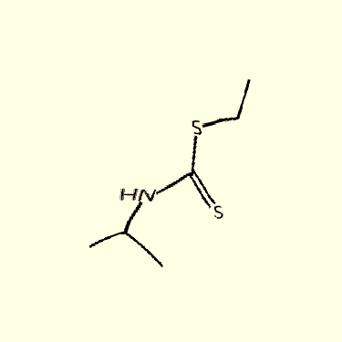 CCSC(=S)NC(C)C